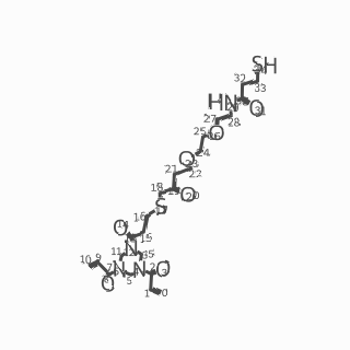 C=CC(=O)N1CN(C(=O)C=C)CN(C(=O)CCSCC(=O)CCOCCOCCNC(=O)CCS)C1